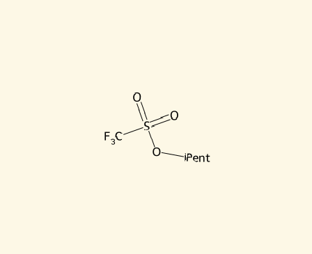 CCCC(C)OS(=O)(=O)C(F)(F)F